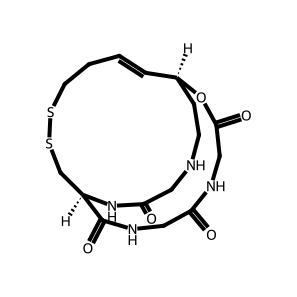 O=C1CNC(=O)[C@H]2CSSCC/C=C/[C@H](CCNCC(=O)N2)OC(=O)CN1